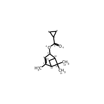 CC1=CC(OC(=O)C2CC2)C2CC1C2(C)C